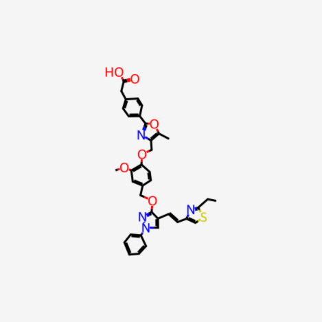 CCc1nc(C=Cc2cn(-c3ccccc3)nc2OCc2ccc(OCc3nc(-c4ccc(CC(=O)O)cc4)oc3C)c(OC)c2)cs1